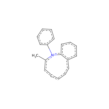 Cc1cccccc2ccccc2n1-c1ccccc1